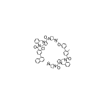 CN(C)[C@@H]1CCN(C(=O)c2ccc3n2Cc2ccccc2N(C(=O)c2ccc(-c4cccc5ccccc45)cc2Cl)C3)C1.COc1cccc(-c2ccc(C(=O)N3Cc4ccc(C(=O)N5CC[C@@H](N(C)C)C5)n4Cc4ccccc43)cc2C)c1